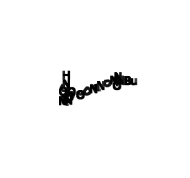 CCC(C)n1ncn(-c2ccc(N3CCN(c4ccc(OC[C@@H]5CO[C@@](Cn6nccn6)(C6=CNCCO6)O5)cc4)CC3)cc2)c1=O